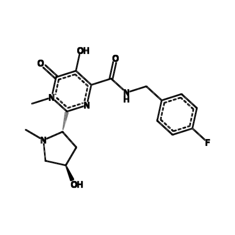 CN1C[C@H](O)C[C@H]1c1nc(C(=O)NCc2ccc(F)cc2)c(O)c(=O)n1C